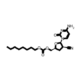 CCCCCCCCOC(=O)OC[C@@H]1C[C@H](C#N)[C@H](n2ccc(N)nc2=O)O1